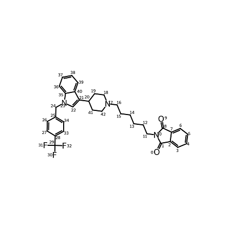 O=C1c2ccccc2C(=O)N1CCCCCCN1CCC(c2cn(Cc3ccc(C(F)(F)F)cc3)c3ccccc23)CC1